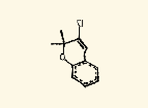 CC1(C)Oc2ccccc2C=C1Cl